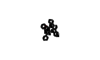 C1=CCC(c2nc(-c3ccccc3)nc(-n3c4ccncc4c4ccc5c6ccccc6n(-c6ccccc6)c5c43)n2)C=C1